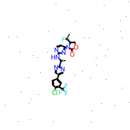 C[C@H](Nc1nccc(N2C(=O)OCC2[C@H](C)F)n1)c1ncc(-c2ccc(Cl)c(C(F)(F)F)c2)cn1